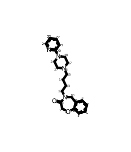 O=C1COc2ccccc2CN1CCCCN1CCN(c2ccccn2)CC1